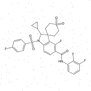 O=C(Nc1cccc(F)c1F)c1ccc2c(c1F)C1(CCS(=O)(=O)CC1)C(C1CC1)N2S(=O)(=O)c1ccc(F)cc1